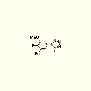 COc1cc(-n2nnnc2C)cc(C(C)(C)C)c1F